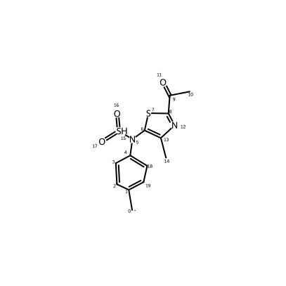 [CH2]c1ccc(N(c2sc(C(C)=O)nc2C)[SH](=O)=O)cc1